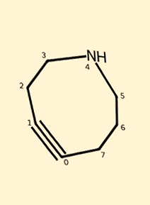 C1#CCCNCCC1